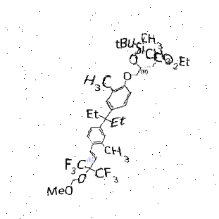 CCOC(=O)C[C@H](COc1ccc(C(CC)(CC)c2ccc(/C=C/C(OCOC)(C(F)(F)F)C(F)(F)F)c(C)c2)cc1C)O[Si](C)(C)C(C)(C)C